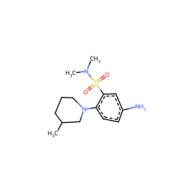 CC1CCCN(c2ccc(N)cc2S(=O)(=O)N(C)C)C1